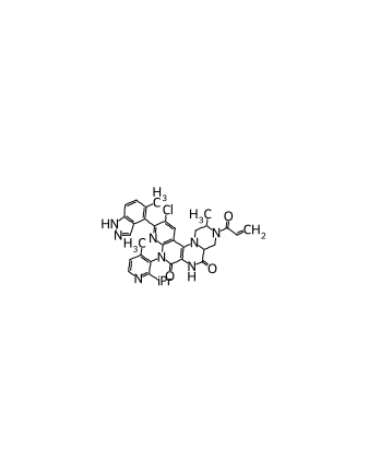 C=CC(=O)N1CC2C(=O)Nc3c(c4cc(Cl)c(-c5c(C)ccc6[nH]ncc56)nc4n(-c4c(C)ccnc4C(C)C)c3=O)N2CC1C